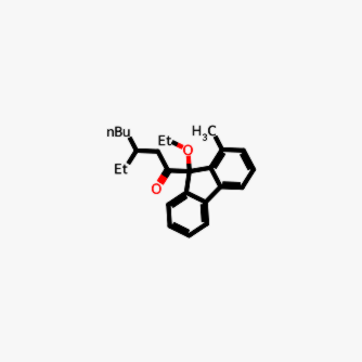 CCCCC(CC)CC(=O)C1(OCC)c2ccccc2-c2cccc(C)c21